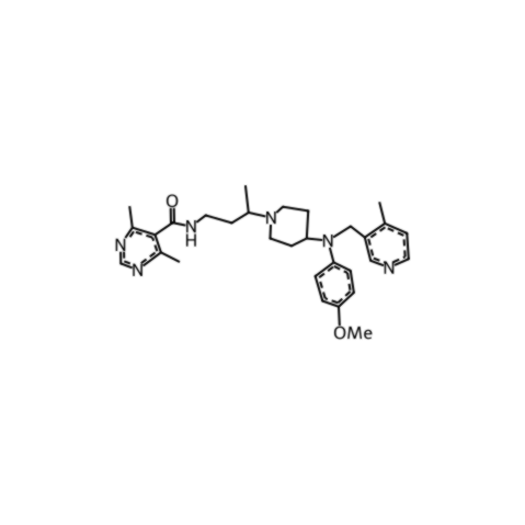 COc1ccc(N(Cc2cnccc2C)C2CCN(C(C)CCNC(=O)c3c(C)ncnc3C)CC2)cc1